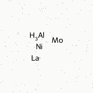 [AlH3].[La].[Mo].[Ni]